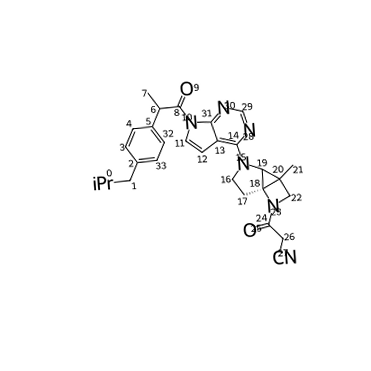 CC(C)Cc1ccc(C(C)C(=O)n2ccc3c(N4CC[C@]56C4C5(C)CN6C(=O)CC#N)ncnc32)cc1